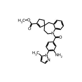 COC(=O)C1=CC2(CC1)CCN(C(=O)c1ccc(-n3nccc3C)c(N)c1)c1ccccc1C2